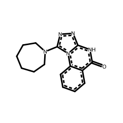 O=c1[nH]c2nnc(N3CCCCCC3)n2c2ccccc12